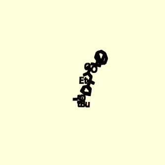 CCC(C)(CC(C)C(=O)OC(C)(C)C12CC3CC(CC(C3)C1)C2)c1ccc(O[Si](C)(C)C(C)(C)C)cc1